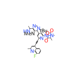 CNc1c(C(C)=N)ncnc1-c1cc(C#Cc2cc(C)nc3c(F)cccc23)nc(NC(=O)C(C)N(C)C(=O)OC(C)(C)C)c1